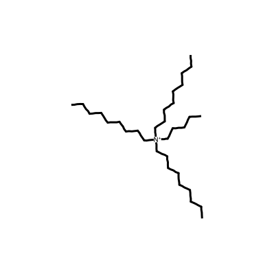 CCCCCCCCC[N+](CCCCC)(CCCCCCCCC)CCCCCCCCC